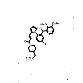 CCOC(=O)CC1CCN(C(=O)C=Cc2cccn2-c2ccc(Cl)cc2C(O)c2nccc(OC)c2OC)CC1